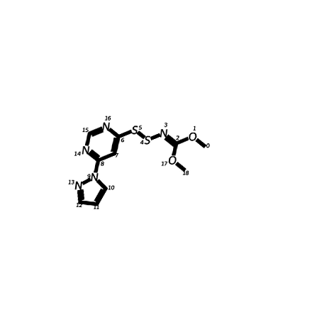 COC(=NSSc1cc(-n2cccn2)ncn1)OC